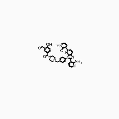 Nc1ncccc1-c1nc2ccc(-c3ccc[nH]c3=O)nc2n1-c1ccc(CN2CCN(C(=O)c3ccc(O)c(C=O)c3)CC2)cc1